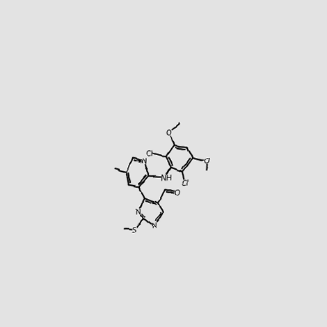 COc1cc(OC)c(Cl)c(Nc2ncc(C)cc2-c2nc(SC)ncc2C=O)c1Cl